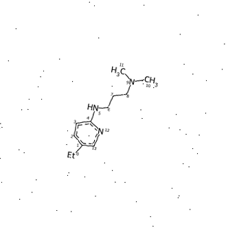 CCc1ccc(NCCCN(C)C)nc1